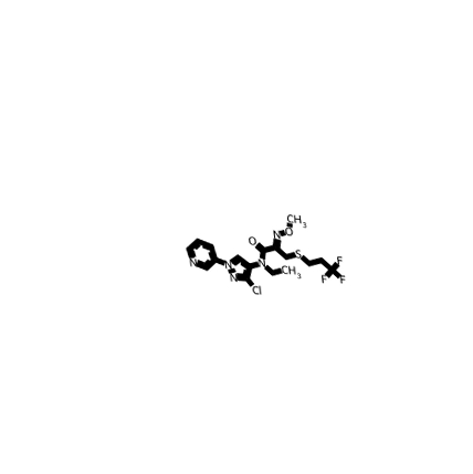 CCN(C(=O)/C(CSCCC(F)(F)F)=N/OC)c1cn(-c2cccnc2)nc1Cl